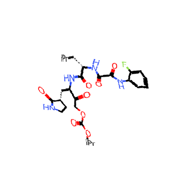 CC(C)C[C@H](NC(=O)C(=O)Nc1ccccc1F)C(=O)NC(C[C@@H]1CCNC1=O)C(=O)COC(=O)OC(C)C